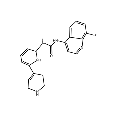 O=C(Nc1ccnc2c(F)cccc12)NC1C=CC=C(C2=CCNCC2)N1